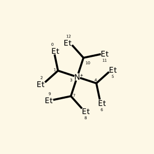 CCC(CC)[N+](C(CC)CC)(C(CC)CC)C(CC)CC